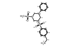 CS(=O)(=O)N1C[C@@H](c2ccccc2)C[C@@H](S(=O)(=O)c2ccc(CN)cc2)C1